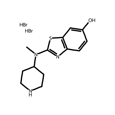 Br.Br.CN(c1nc2ccc(O)cc2s1)C1CCNCC1